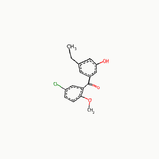 CCc1cc(O)cc(C(=O)c2cc(Cl)ccc2OC)c1